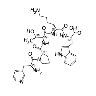 C[C@@H](O)[C@H](NC(=O)[C@@H]1CCCN1C(=O)[C@@H](N)Cc1cccnc1)C(=O)N[C@@H](CCCCN)C(=O)N[C@@H](Cc1c[nH]c2ccccc12)C(=O)O